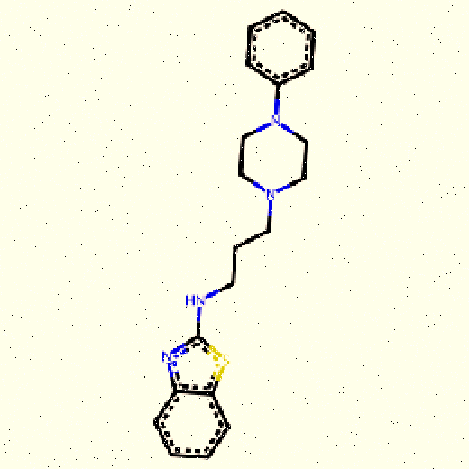 c1ccc(N2CCN(CCCNc3nc4ccccc4s3)CC2)cc1